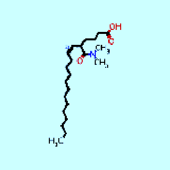 CCCCCCCCCCCC/C=C\C(CCCC(=O)O)C(=O)N(C)C